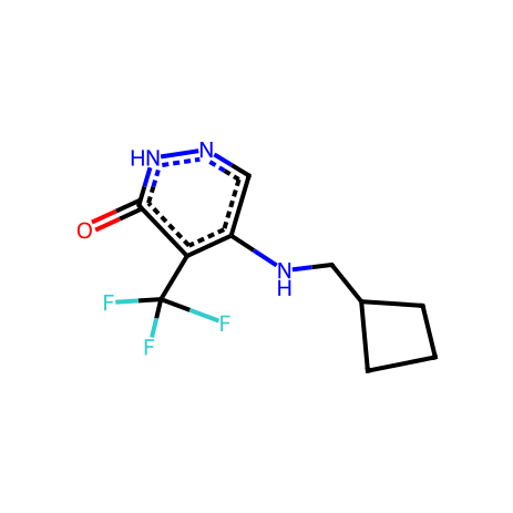 O=c1[nH]ncc(NCC2CCC2)c1C(F)(F)F